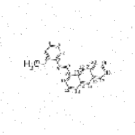 C=Cc1ccccc1/C=C/c1cccc2cc3ccccc3cc12